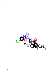 Cc1ccc(C(C)(C)C)c(C(=O)N2CC[C@@H](Nc3nc4ccc(Cl)cc4o3)C2)c1